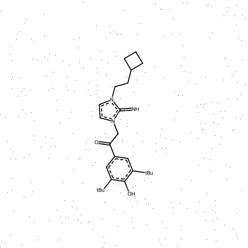 CC(C)(C)c1cc(C(=O)Cn2ccn(CCC3CCC3)c2=N)cc(C(C)(C)C)c1O